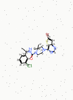 CC(NC(=O)N1CCN(c2ncnc3cc(Br)sc23)CC1(C)C)c1cccc(Cl)c1